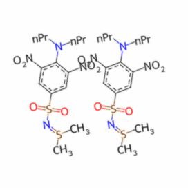 CCCN(CCC)c1c([N+](=O)[O-])cc(S(=O)(=O)N=S(C)C)cc1[N+](=O)[O-].CCCN(CCC)c1c([N+](=O)[O-])cc(S(=O)(=O)N=S(C)C)cc1[N+](=O)[O-]